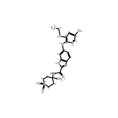 CC1(NC(=O)c2nc3ccc(Oc4ncc(Cl)cc4OCC(F)(F)F)cc3o2)CCS(=O)(=O)CC1